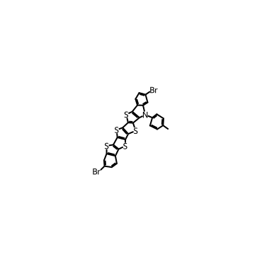 Cc1ccc(-n2c3cc(Br)ccc3c3sc4c5sc6c7sc8cc(Br)ccc8c7sc6c5sc4c32)cc1